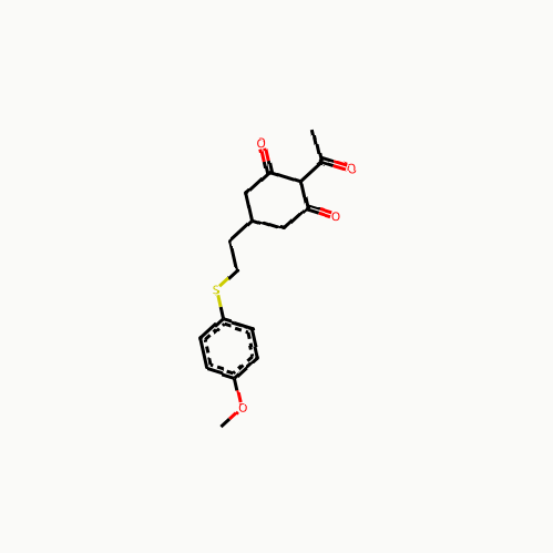 COc1ccc(SCCC2CC(=O)C(C(C)=O)C(=O)C2)cc1